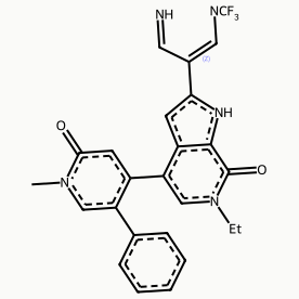 CCn1cc(-c2cc(=O)n(C)cc2-c2ccccc2)c2cc(/C(C=N)=C/NC(F)(F)F)[nH]c2c1=O